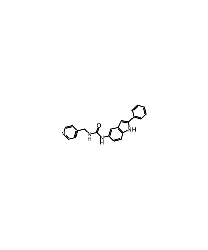 O=C(NCc1ccncc1)Nc1ccc2[nH]c(-c3ccccc3)cc2c1